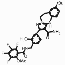 COc1c(F)c(F)c(F)c(F)c1C(=O)NCc1ccc(-c2nn3c(c2C(N)=O)Nc2ccc(C(C)(C)C)cc2CC3)cc1C